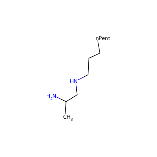 CCCCCCCCNCC(C)N